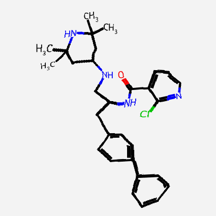 CC1(C)CC(NCC(Cc2ccc(-c3ccccc3)cc2)NC(=O)c2cccnc2Cl)CC(C)(C)N1